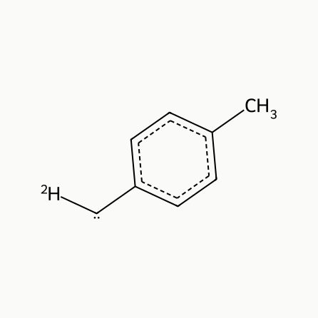 [2H][C]c1ccc(C)cc1